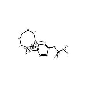 CN(C)C(=O)Oc1ccc2c(c1)[C@@]1(C)CCCCC[C@@H](C2)[C@@H]1N